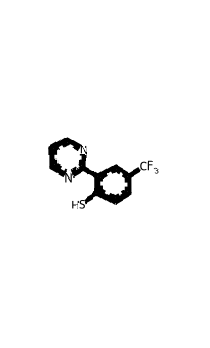 FC(F)(F)c1ccc(S)c(-c2ncccn2)c1